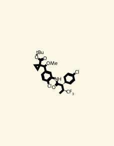 COC(c1ccc(Cl)c(NC(=O)[C@H](C2C=CC(Cl)=CC2)[C@@H](C)C(F)(F)F)c1)C1(C(=O)OC(C)(C)C)CC1